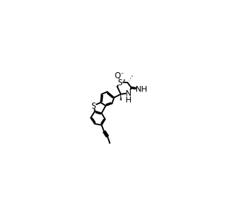 CC#Cc1ccc2sc3ccc([C@]4(C)C[S+]([O-])[C@H](C)C(=N)N4)cc3c2c1